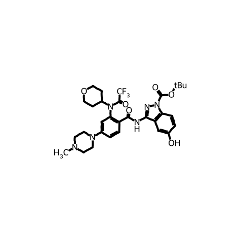 CN1CCN(c2ccc(C(=O)Nc3nn(C(=O)OC(C)(C)C)c4ccc(O)cc34)c(N(C(=O)C(F)(F)F)C3CCOCC3)c2)CC1